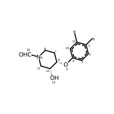 Cc1ccc(O[C@H]2CCN(C=O)C[C@H]2O)cc1C